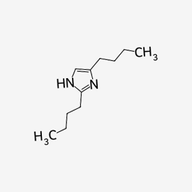 CCCCc1c[nH]c(CCCC)n1